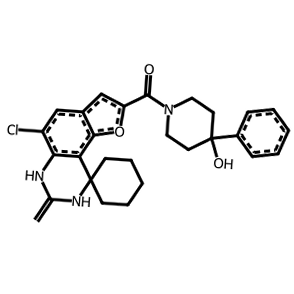 C=C1Nc2c(Cl)cc3cc(C(=O)N4CCC(O)(c5ccccc5)CC4)oc3c2C2(CCCCC2)N1